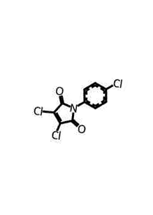 O=C1C(Cl)=C(Cl)C(=O)N1c1ccc(Cl)cc1